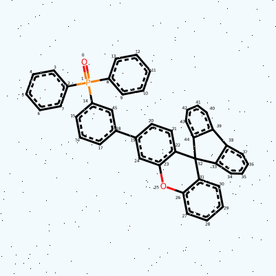 O=P(c1ccccc1)(c1ccccc1)c1cccc(-c2ccc3c(c2)Oc2ccccc2C32c3ccccc3-c3ccccc32)c1